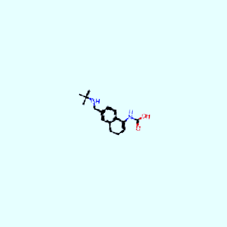 CC(C)(C)NCc1ccc2c(c1)CCC=C2NC(=O)O